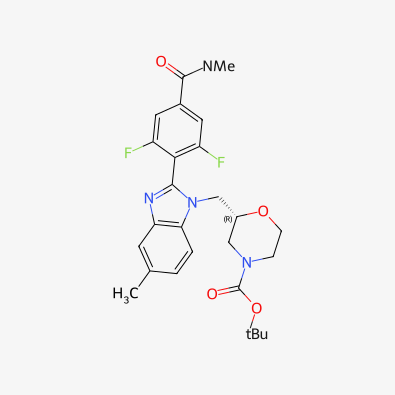 CNC(=O)c1cc(F)c(-c2nc3cc(C)ccc3n2C[C@H]2CN(C(=O)OC(C)(C)C)CCO2)c(F)c1